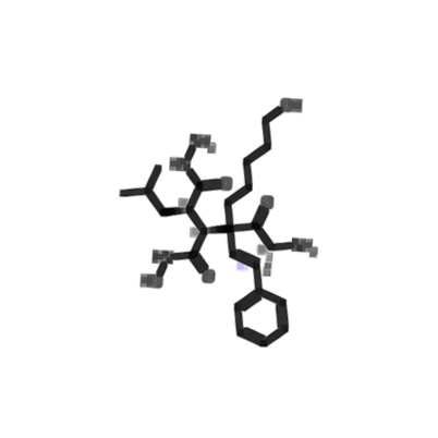 CC(C)C[C@@H](C(=O)NN)[C@H](C(=O)NO)C(/C=C/c1ccccc1)(CCCCCO)C(=O)[C@@H](C)N